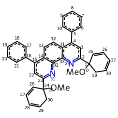 COC1(c2cc(-c3ccccc3)c3ccc4c(-c5ccccc5)cc(C5(OC)C=CC=CC5)nc4c3n2)C=CC=CC1